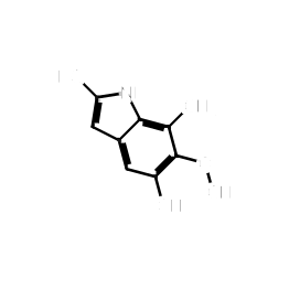 COc1c(C)cc2cc(C)[nH]c2c1C